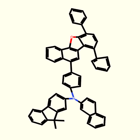 CC1(C)c2ccccc2-c2ccc(N(c3ccc(-c4cc5c(oc6c(-c7ccccc7)ccc(-c7ccccc7)c65)c5ccccc45)cc3)c3ccc4ccccc4c3)cc21